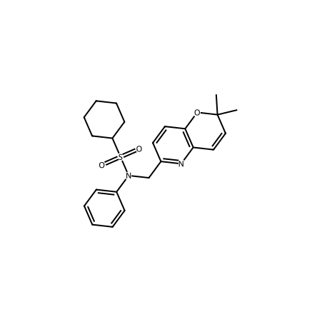 CC1(C)C=Cc2nc(CN(c3ccccc3)S(=O)(=O)C3CCCCC3)ccc2O1